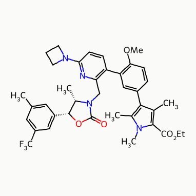 CCOC(=O)c1c(C)c(-c2ccc(OC)c(-c3ccc(N4CCC4)nc3CN3C(=O)O[C@H](c4cc(C)cc(C(F)(F)F)c4)[C@@H]3C)c2)c(C)n1C